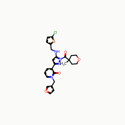 CC1(C(=O)n2nc(-c3cccn(Cc4ccoc4)c3=O)cc2NCc2ccc(Cl)s2)CCOCC1